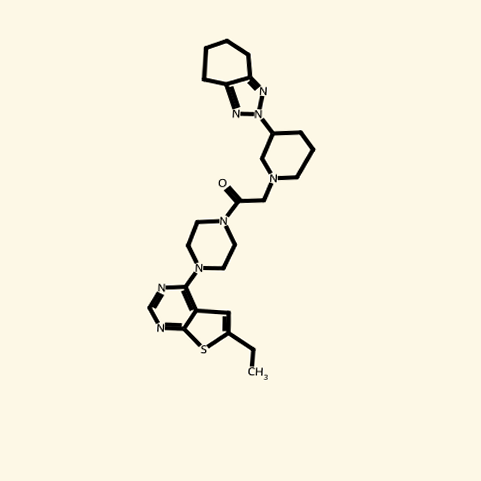 CCc1cc2c(N3CCN(C(=O)CN4CCCC(n5nc6c(n5)CCCC6)C4)CC3)ncnc2s1